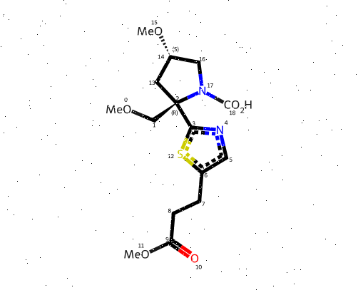 COC[C@@]1(c2ncc(CCC(=O)OC)s2)C[C@H](OC)CN1C(=O)O